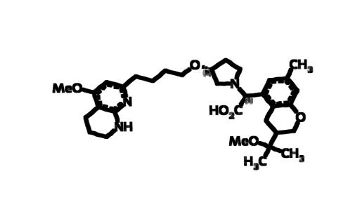 COc1cc(CCCCO[C@@H]2CCN([C@H](C(=O)O)c3cc(C)cc4c3CC(C(C)(C)OC)CO4)C2)nc2c1CCCN2